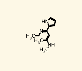 CC/N=C(\C=C(/C)NC)c1ccc[nH]1